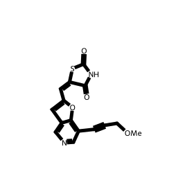 COCC#Cc1cncc2cc(C=C3SC(=O)NC3=O)oc12